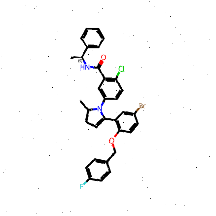 CC1CC=C(c2cc(Br)ccc2OCc2ccc(F)cc2)N1c1ccc(Cl)c(C(=O)N[C@@H](C)c2ccccc2)c1